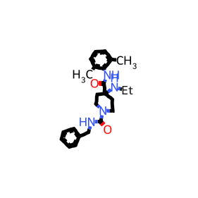 CCNC1(C(=O)Nc2c(C)cccc2C)CCN(C(=O)NCc2ccccc2)CC1